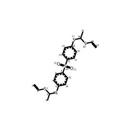 C=CSC(C)Sc1ccc(S(=O)(=O)c2ccc(SC(C)SC=C)cc2)cc1